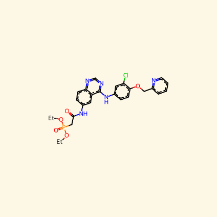 CCOP(=O)(CC(=O)Nc1ccc2ncnc(Nc3ccc(OCc4ccccn4)c(Cl)c3)c2c1)OCC